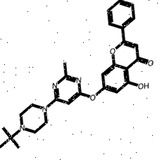 Cc1nc(Oc2cc(O)c3c(=O)cc(-c4ccccc4)oc3c2)cc(N2CCN(C(C)(C)C)CC2)n1